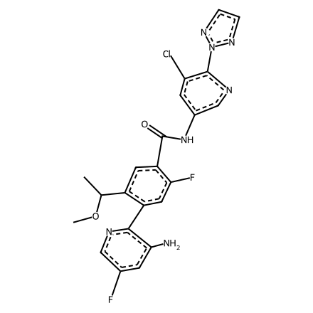 COC(C)c1cc(C(=O)Nc2cnc(-n3nccn3)c(Cl)c2)c(F)cc1-c1ncc(F)cc1N